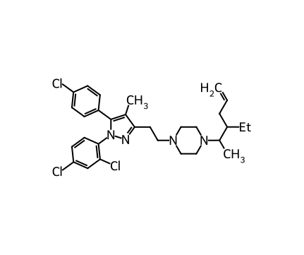 C=CCC(CC)C(C)N1CCN(CCc2nn(-c3ccc(Cl)cc3Cl)c(-c3ccc(Cl)cc3)c2C)CC1